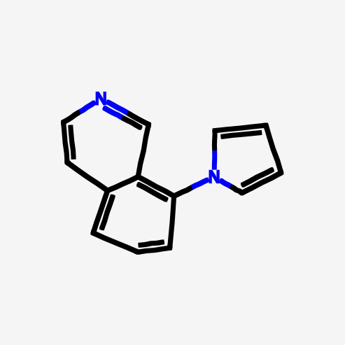 c1cc(-n2cccc2)c2cnccc2c1